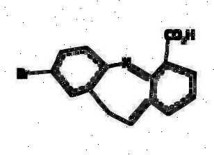 O=C(O)c1cccc2c1=Nc1ccc(Br)cc1CC=2